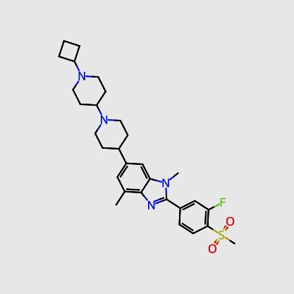 Cc1cc(C2CCN(C3CCN(C4CCC4)CC3)CC2)cc2c1nc(-c1ccc(S(C)(=O)=O)c(F)c1)n2C